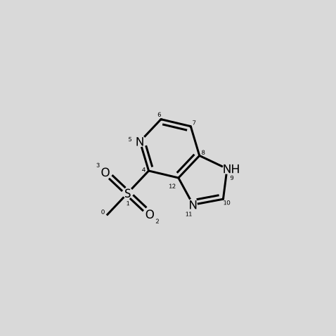 CS(=O)(=O)c1nccc2[nH]cnc12